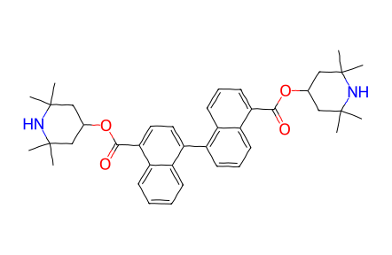 CC1(C)CC(OC(=O)c2cccc3c(-c4ccc(C(=O)OC5CC(C)(C)NC(C)(C)C5)c5ccccc45)cccc23)CC(C)(C)N1